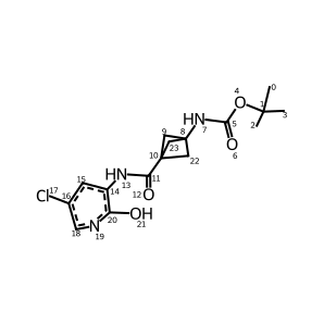 CC(C)(C)OC(=O)NC12CC(C(=O)Nc3cc(Cl)cnc3O)(C1)C2